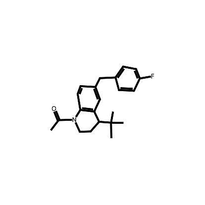 CC(=O)N1CCC(C(C)(C)C)c2cc(Cc3ccc(F)cc3)ccc21